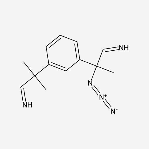 CC(C)(C=N)c1cccc(C(C)(C=N)N=[N+]=[N-])c1